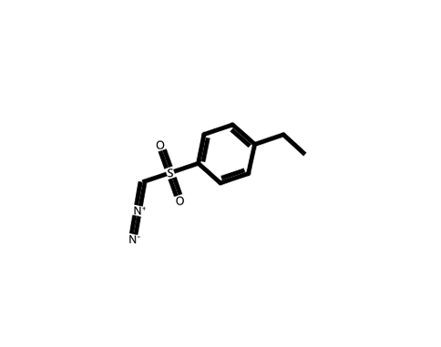 CCc1ccc(S(=O)(=O)C=[N+]=[N-])cc1